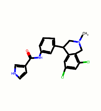 CN1Cc2c(Cl)cc(Cl)cc2C(c2cccc(NC(=O)c3cc[nH]c3)c2)C1